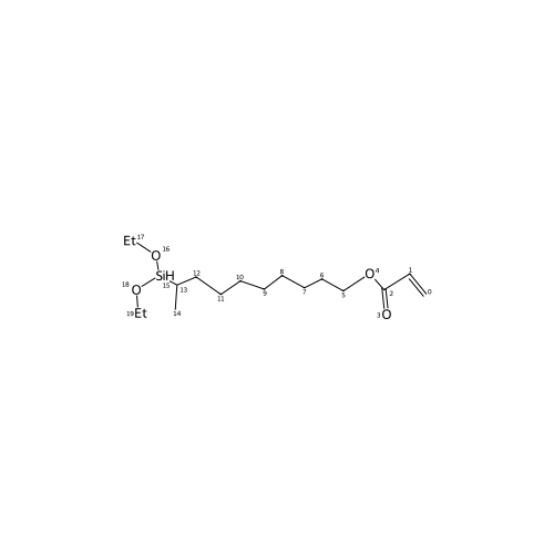 C=CC(=O)OCCCCCCCCC(C)[SiH](OCC)OCC